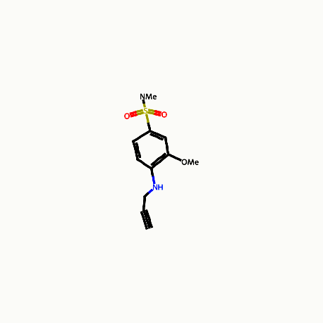 C#CCNc1ccc(S(=O)(=O)NC)cc1OC